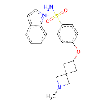 CN1CC2(CC(Oc3ccc(S(N)(=O)=O)c(-c4cccc5cc[nH]c45)c3)C2)C1